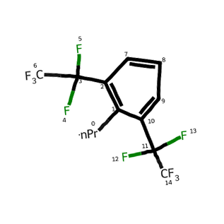 CC[CH]c1c(C(F)(F)C(F)(F)F)cccc1C(F)(F)C(F)(F)F